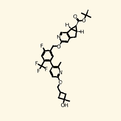 Cc1nc(OCC2CC(C)(O)C2)ccc1-c1cc(COc2cc3c(cn2)[C@H]2[C@@H](C3)[C@@H]2C(=O)OC(C)(C)C)c(F)cc1C(F)(F)F